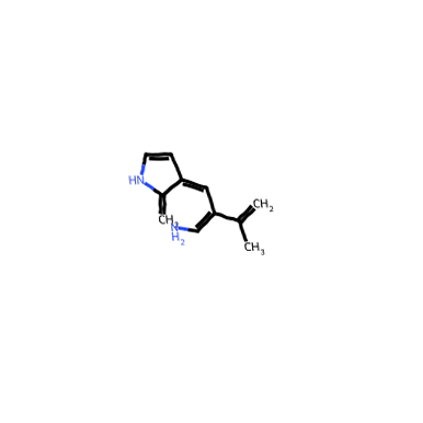 C=C(C)C(/C=c1/cc[nH]c1=C)=C/N